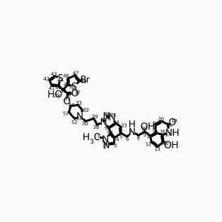 Cn1ncc2c(CNC[C@H](O)c3ccc(O)c4[nH]c(=O)ccc34)cc3nnn(CCCN4CCC(OC(=O)C(O)(c5cccs5)c5ccc(Br)s5)CC4)c3c21